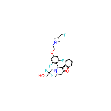 CC1Cc2oc3ccccc3c2C(c2c(F)cc(OCCN3CC(CF)C3)cc2F)N1CC(F)(F)CO